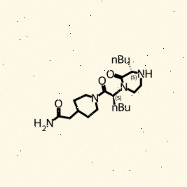 CCCC[C@@H]1NCCN([C@@H](CCCC)C(=O)N2CCC(CC(N)=O)CC2)C1=O